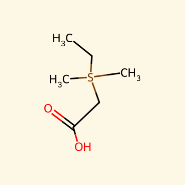 CCS(C)(C)CC(=O)O